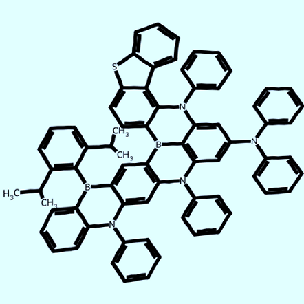 CC(C)c1cccc(C(C)C)c1B1c2ccccc2N(c2ccccc2)c2cc3c(cc21)B1c2ccc4sc5ccccc5c4c2N(c2ccccc2)c2cc(N(c4ccccc4)c4ccccc4)cc(c21)N3c1ccccc1